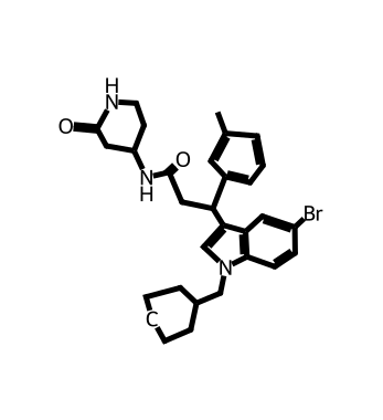 Cc1cccc(C(CC(=O)NC2CCNC(=O)C2)c2cn(CC3CCCCC3)c3ccc(Br)cc23)c1